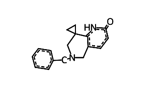 O=c1ccc2c([nH]1)C1(CC1)CN(Cc1ccccc1)C2